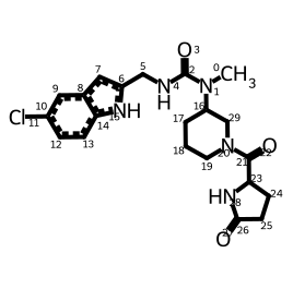 CN(C(=O)NCc1cc2cc(Cl)ccc2[nH]1)C1CCCN(C(=O)C2CCC(=O)N2)C1